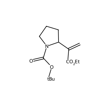 C=C(C(=O)OCC)C1CCCN1C(=O)OC(C)(C)C